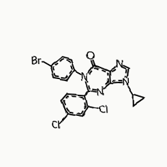 O=c1c2ncn(C3CC3)c2nc(-c2ccc(Cl)cc2Cl)n1-c1ccc(Br)cc1